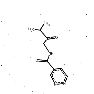 CC(C)C(=O)CNC(=O)c1ccnnc1